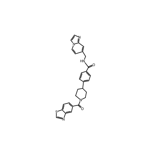 O=C(NCc1ccn2ccnc2c1)c1ccc(C2CCN(C(=O)c3ccc4scnc4c3)CC2)cc1